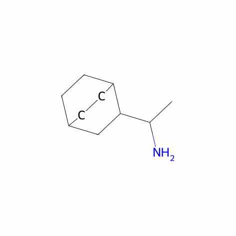 CC(N)C1CC2CCC1CC2